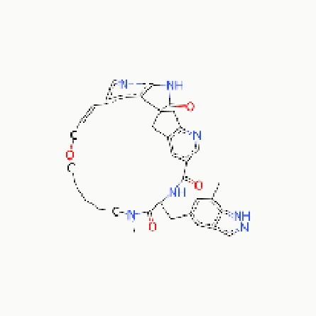 Cc1cc(CC2NC(=O)c3cnc4c(c3)CC3(C4)C(=O)Nc4ncc(cc43)C=CCOCCCCCN(C)C2=O)cc2cn[nH]c12